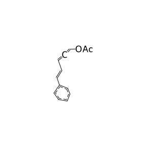 CC(=O)OC=C=CC=Cc1ccccc1